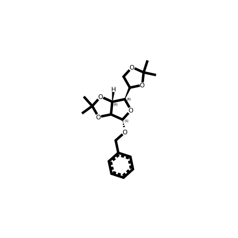 CC1(C)OCC([C@H]2O[C@H](OCc3ccccc3)C3OC(C)(C)O[C@@H]32)O1